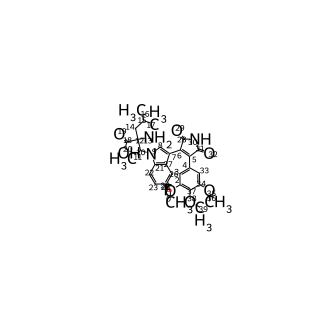 COc1cc(C2=C(c3cn(C(C)C(N)(CC(C)C)C(=O)O)c4ccc(F)cc34)C(=O)NC2=O)cc(OC)c1OC